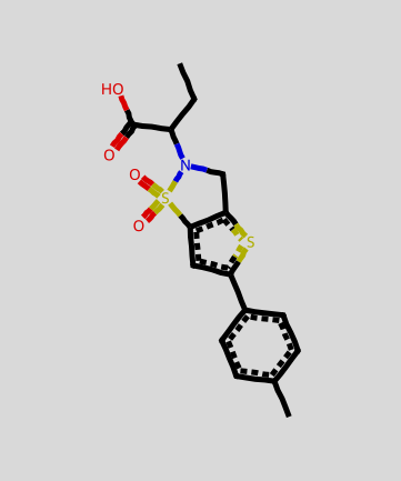 CCC(C(=O)O)N1Cc2sc(-c3ccc(C)cc3)cc2S1(=O)=O